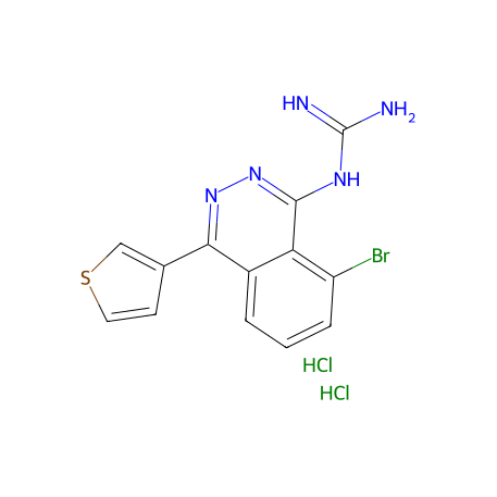 Cl.Cl.N=C(N)Nc1nnc(-c2ccsc2)c2cccc(Br)c12